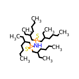 CCCCC(CC)CP(=S)(CC(CC)CCCC)NP(=S)(CC(CC)CCCC)CC(CC)CCCC